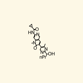 CCCC(O)c1ncc(-c2cc3cnc(NC(=O)C4CC4)cc3n(C)c2=O)c(C)n1